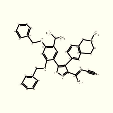 CC(C)c1cc(-c2onc(C(N)=NC#N)c2-c2ccc3c(c2)CCN(C)C3)c(OCc2ccccc2)cc1OCc1ccccc1